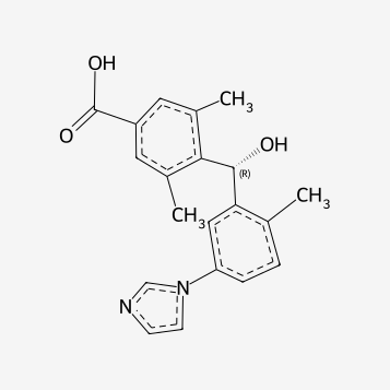 Cc1ccc(-n2ccnc2)cc1[C@@H](O)c1c(C)cc(C(=O)O)cc1C